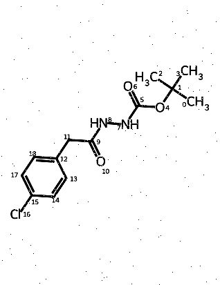 CC(C)(C)OC(=O)NNC(=O)Cc1ccc(Cl)cc1